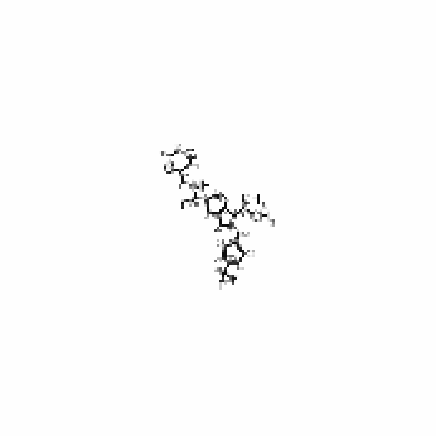 CC(C)C1c2ncc(C(=O)NCC3COCCO3)cc2CN1Cc1ccc(C(F)(F)F)cc1